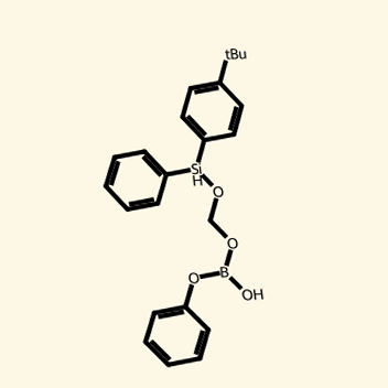 CC(C)(C)c1ccc([SiH](OCOB(O)Oc2ccccc2)c2ccccc2)cc1